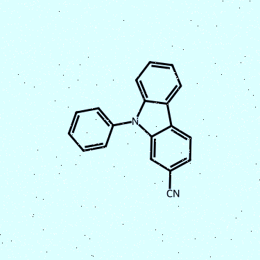 N#Cc1ccc2c3ccccc3n(-c3ccccc3)c2c1